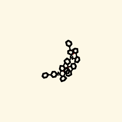 c1ccc(-c2ccc(N(c3ccc4c(c3)C3(c5ccccc5-c5ccccc53)c3cc(N(c5ccc(-c6ccccc6)cc5)c5ccccc5-c5ccccc5)ccc3-4)c3ccccc3-c3ccccc3)cc2)cc1